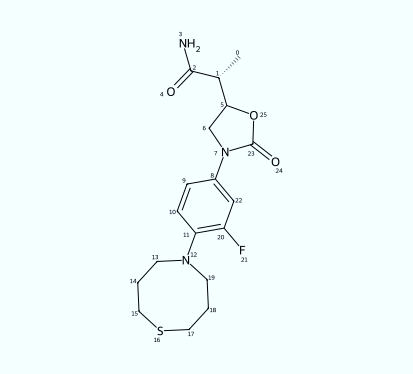 C[C@@H](C(N)=O)C1CN(c2ccc(N3CCCSCCC3)c(F)c2)C(=O)O1